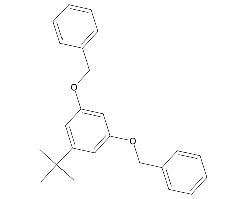 CC(C)(C)c1cc(OCc2ccccc2)cc(OCc2ccccc2)c1